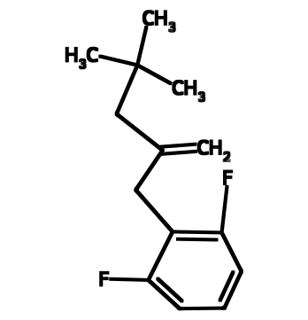 C=C(Cc1c(F)cccc1F)CC(C)(C)C